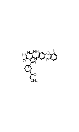 C=CC(=O)N1CCC[C@@H](c2nn(-c3ccc(Oc4c(F)cccc4F)cc3)c3c(N)n[nH]c(=O)c23)C1